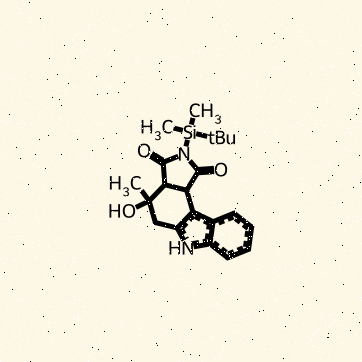 CC1(O)Cc2[nH]c3ccccc3c2C2C(=O)N([Si](C)(C)C(C)(C)C)C(=O)C21